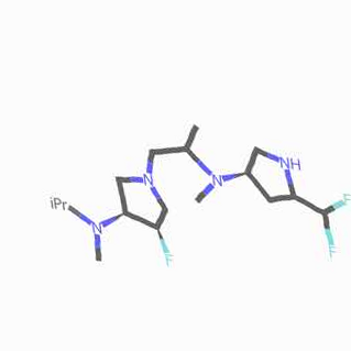 CC(CN1C[C@@H](F)[C@@H](N(C)C(C)C)C1)N(C)[C@H]1CNC(C(F)F)C1